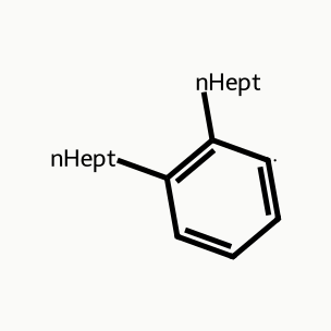 CCCCCCCc1[c]cccc1CCCCCCC